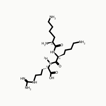 [2H]N(C(=O)[C@H](CCCCN)NC(=O)[C@@H](N)CCCCN)[C@@H](CCCNC(=N)N)C(=O)O